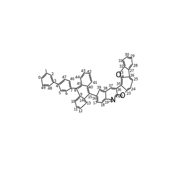 c1ccc(-c2ccc(-c3c4ccccc4c(-c4ccc5nc6oc7ccc8c9ccccc9oc8c7c6cc5c4)c4ccccc34)cc2)cc1